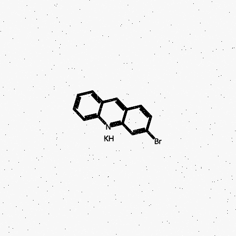 Brc1ccc2cc3ccccc3nc2c1.[KH]